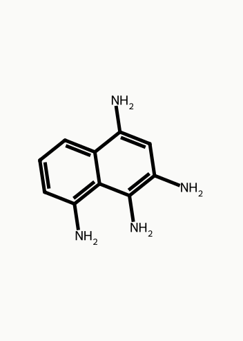 Nc1cc(N)c2cccc(N)c2c1N